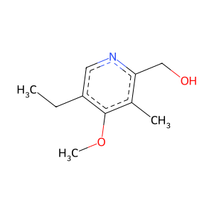 CCc1cnc(CO)c(C)c1OC